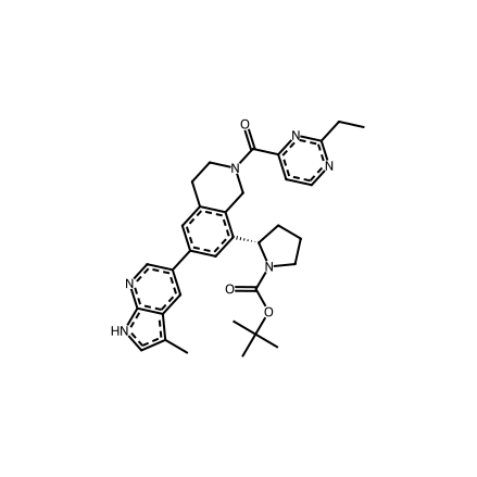 CCc1nccc(C(=O)N2CCc3cc(-c4cnc5[nH]cc(C)c5c4)cc([C@@H]4CCCN4C(=O)OC(C)(C)C)c3C2)n1